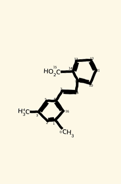 Cc1cc(C)cc(/C=C/c2ccccc2C(=O)O)c1